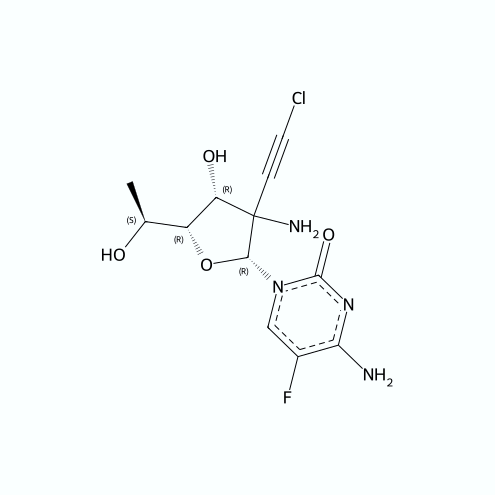 C[C@H](O)[C@H]1O[C@@H](n2cc(F)c(N)nc2=O)C(N)(C#CCl)[C@H]1O